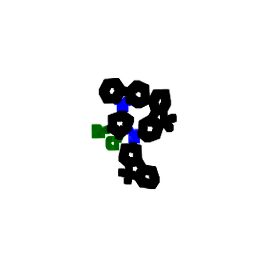 CC1(C)c2ccccc2-c2cc(N(c3ccc4c(c3)-c3ccccc3C4(C)C)c3cc(-n4c5ccccc5c5ccccc54)cc(Br)c3Cl)ccc21